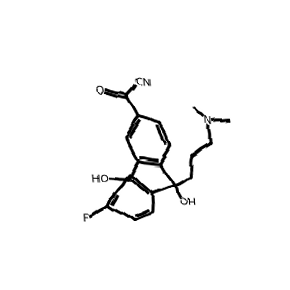 CN(C)CCCC(O)(c1ccc(F)cc1)c1ccc(C(=O)C#N)cc1CO